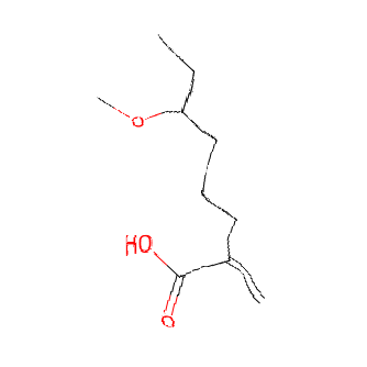 C=C(CCCC(CC)OC)C(=O)O